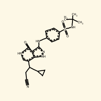 CC(C)(C)NS(=O)(=O)c1ccc(Nc2n[nH]c3c(C(CC#N)C4CC4)c[nH]c(=O)c23)cc1